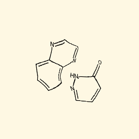 O=c1cccn[nH]1.c1ccc2nccnc2c1